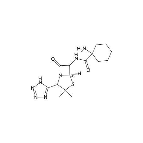 CC1(C)S[C@@H]2C(NC(=O)C3(N)CCCCC3)C(=O)N2C1c1nnn[nH]1